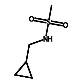 CS(=O)(=O)NCC1CC1